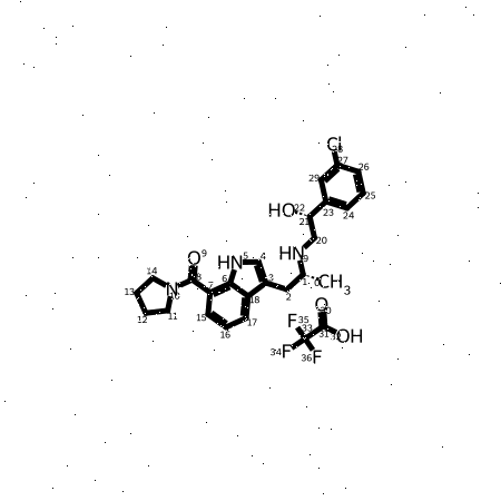 C[C@H](Cc1c[nH]c2c(C(=O)N3CCCC3)cccc12)NC[C@H](O)c1cccc(Cl)c1.O=C(O)C(F)(F)F